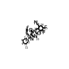 CC#CCn1c(N2CCC[C@@H](C)C2)nc2c1c(=O)n(Cc1cc(F)c(F)cc1C#N)c(=O)n2C